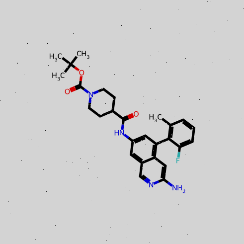 Cc1cccc(F)c1-c1cc(NC(=O)C2CCN(C(=O)OC(C)(C)C)CC2)cc2cnc(N)cc12